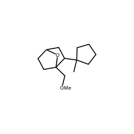 COCC12CCC(CC1C1(C)CCCC1)O2